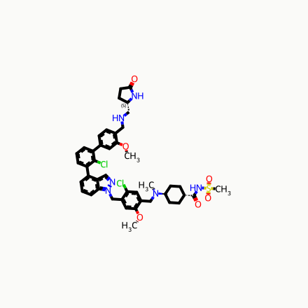 COc1cc(-c2cccc(-c3cccc4c3cnn4Cc3cc(OC)c(CN(C)[C@H]4CC[C@H](C(=O)NS(C)(=O)=O)CC4)cc3Cl)c2Cl)ccc1CNC[C@@H]1CCC(=O)N1